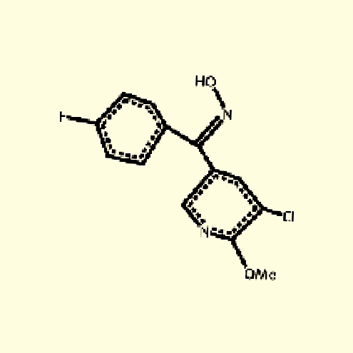 COc1ncc(/C(=N/O)c2ccc(F)cc2)cc1Cl